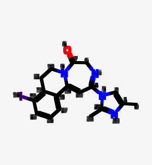 Cc1cn(C2=NCC(=O)N3CCc4c(I)cccc4C3=C2)c(C)n1